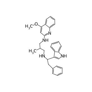 COc1cc(NCC(C)CNC(Cc2ccccc2)c2c[nH]c3ccccc23)nc2ccccc12